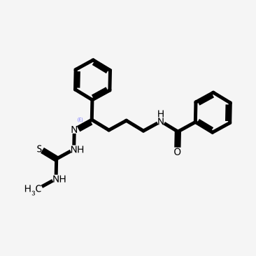 CNC(=S)N/N=C(\CCCNC(=O)c1ccccc1)c1ccccc1